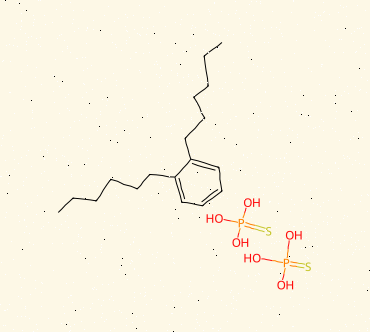 CCCCCCc1ccccc1CCCCCC.OP(O)(O)=S.OP(O)(O)=S